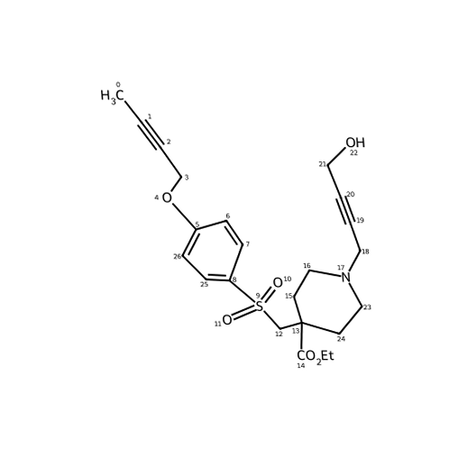 CC#CCOc1ccc(S(=O)(=O)CC2(C(=O)OCC)CCN(CC#CCO)CC2)cc1